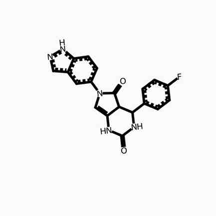 O=C1NC2=CN(c3ccc4[nH]ncc4c3)C(=O)C2C(c2ccc(F)cc2)N1